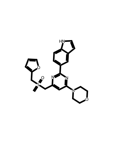 C=S(=O)(Cc1cc(N2CCOCC2)nc(-c2ccc3[nH]ccc3c2)n1)Cc1ccco1